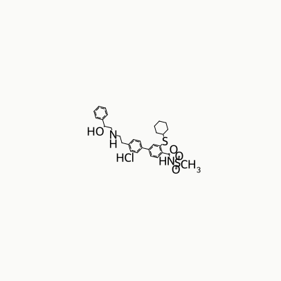 CS(=O)(=O)NC(=O)c1ccc(-c2ccc(CCNC[C@@H](O)c3ccccc3)cc2)cc1SC1CCCCC1.Cl